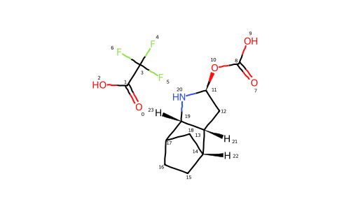 O=C(O)C(F)(F)F.O=C(O)O[C@H]1C[C@@H]2[C@@H]3CCC(C3)[C@@H]2N1